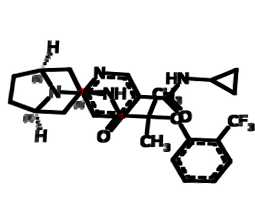 CC(C)(Oc1ccccc1C(F)(F)F)C(=O)N[C@H]1C[C@H]2CC[C@@H](C1)N2c1ccc(C(=O)NC2CC2)cn1